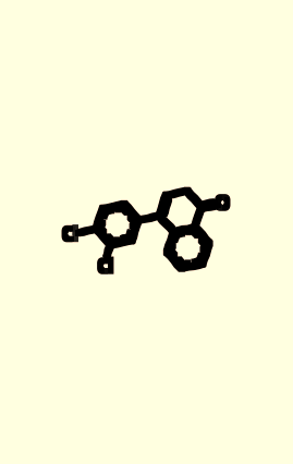 O=C1CC=C(c2ccc(Cl)c(Cl)c2)c2ccccc21